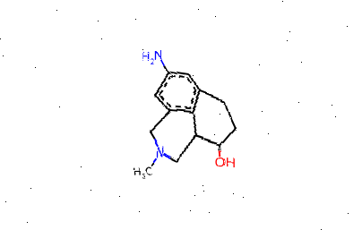 CN1Cc2cc(N)cc3c2C(C1)C(O)CC3